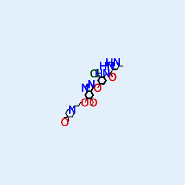 CN/C(=C\C(C)=N)C(=O)Nc1ccc(Oc2ncnc3cc(OCCCN4CCC5(CC4)COC5)c(OC)cc23)cc1Cl